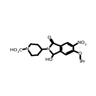 CC(C)Oc1cc2c(cc1[N+](=O)[O-])C(=O)N(C1CCN(C(=O)O)CC1)C2O